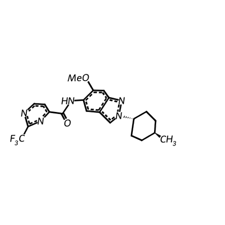 COc1cc2nn([C@H]3CC[C@H](C)CC3)cc2cc1NC(=O)c1ccnc(C(F)(F)F)n1